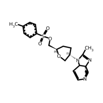 CC1=NC23SC=CC2=NC=CC3N1[C@H]1CC[C@H](COS(=O)(=O)c2ccc(C)cc2)OC1